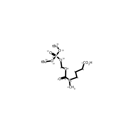 CN(CCCC(=O)O)C(=O)OCOP(=O)(OC(C)(C)C)OC(C)(C)C